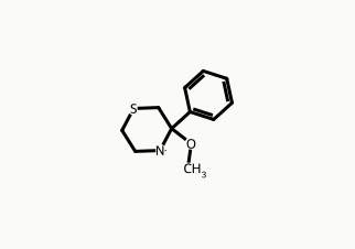 COC1(c2ccccc2)CSCC[N]1